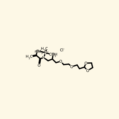 C=C(C)C(=O)N(CC(O)COCCOCCC1OCCO1)[N+](C)(C)CCC.[Cl-]